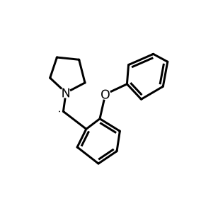 [CH](c1ccccc1Oc1ccccc1)N1CCCC1